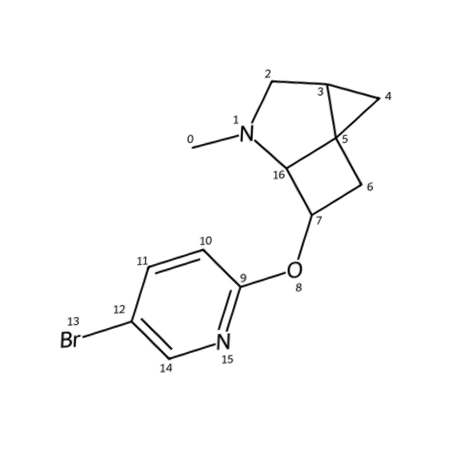 CN1CC2CC23CC(Oc2ccc(Br)cn2)C13